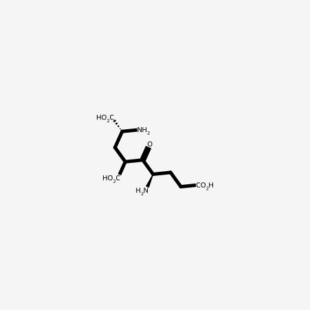 N[C@H](CC(C(=O)O)C(=O)[C@H](N)CCC(=O)O)C(=O)O